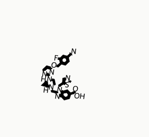 N#Cc1ccc(COc2ccnc(N3CCN(Cc4nc5ccc(C(=O)O)cc5n4Cc4cncs4)[C@@H]4C[C@@H]43)n2)c(F)c1